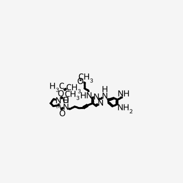 COCCCNc1nc(Nc2ccc(N)c(C=N)c2)ncc1C#CCCCNC(=O)[C@@H]1CCCN1C(=O)OC(C)(C)C